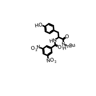 CCCCNC(=O)C(Cc1ccc(O)cc1)NC(=O)c1cc([N+](=O)[O-])cc([N+](=O)[O-])c1